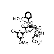 CC(C)N.CCOC(=O)c1ccccc1S(=O)(=O)NC(=O)Nc1nc(Cl)cc(OC)n1.O=C(O)CNCP(=O)(O)O